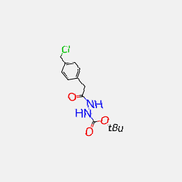 CC(C)(C)OC(=O)NNC(=O)Cc1ccc(CCl)cc1